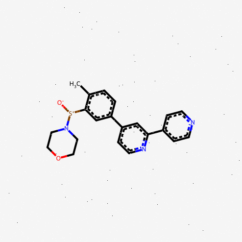 Cc1ccc(-c2ccnc(-c3ccncc3)c2)cc1[S+]([O-])N1CCOCC1